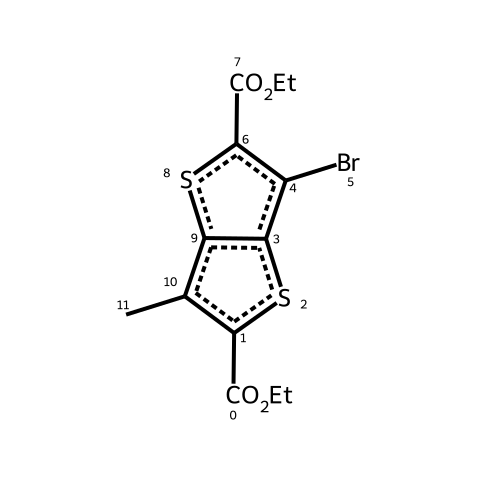 CCOC(=O)c1sc2c(Br)c(C(=O)OCC)sc2c1C